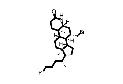 CC(C)CCC[C@@H](C)[C@H]1CC[C@H]2[C@@H]3[C@@H](CBr)C[C@H]4NC(=O)CC[C@]4(C)[C@H]3CC[C@]12C